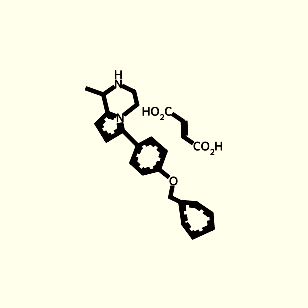 CC1NCCn2c(-c3ccc(OCc4ccccc4)cc3)ccc21.O=C(O)C=CC(=O)O